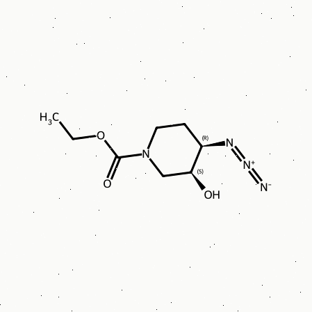 CCOC(=O)N1CC[C@@H](N=[N+]=[N-])[C@@H](O)C1